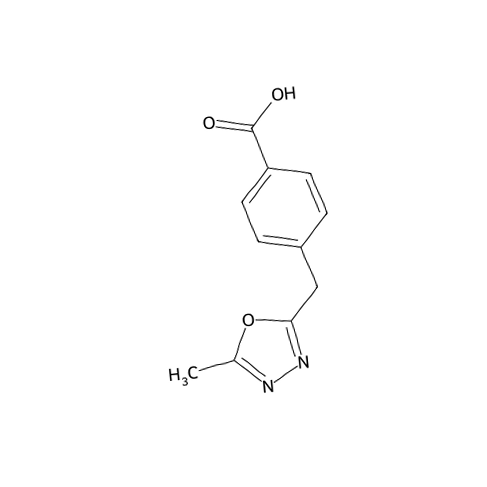 Cc1nnc(Cc2ccc(C(=O)O)cc2)o1